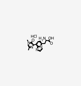 Cc1cn(C)c(=O)c(-c2ccc(C[C@H](N)C(=O)O)n3ccnc23)n1.Cl